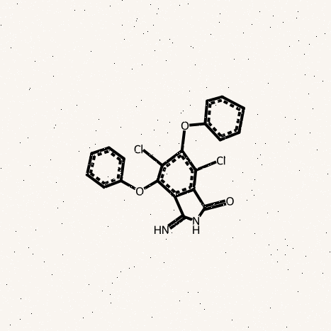 N=C1NC(=O)c2c(Cl)c(Oc3ccccc3)c(Cl)c(Oc3ccccc3)c21